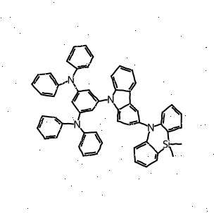 C[Si]1(C)c2ccccc2N(c2ccc3c(c2)c2ccccc2n3-c2cc(N(c3ccccc3)c3ccccc3)cc(N(c3ccccc3)c3ccccc3)c2)c2ccccc21